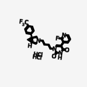 Cl.Cl.O=c1[nH]c(=O)n(CCCCN2C[C@@H]3C[C@]3(c3ccc(C(F)(F)F)cc3)C2)cc1-c1cccnc1F